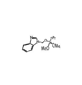 CCC[Si](OC)(OC)OCn1cnc2ccccc21